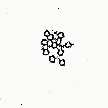 Cc1ccc(N2B3c4cccc5c4-n4c6c(c7ccccc7cc6c6c(N7c8ccccc8Oc8ccccc87)cc(c3c64)-c3cc(N(c4ccccc4)c4ccccc4)ccc32)C5(C)C)cc1